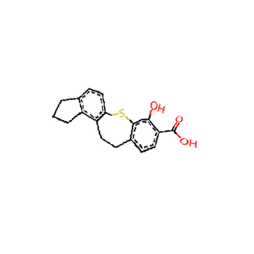 O=C(O)c1ccc2c(c1O)Sc1ccc3c(c1CC2)CCC3